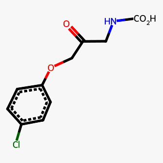 O=C(CNC(=O)O)COc1ccc(Cl)cc1